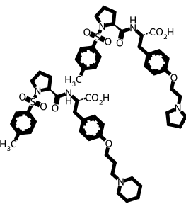 Cc1ccc(S(=O)(=O)N2CCC[C@H]2C(=O)N[C@@H](Cc2ccc(OCCCN3CCCCC3)cc2)C(=O)O)cc1.Cc1ccc(S(=O)(=O)N2CCC[C@H]2C(=O)N[C@@H](Cc2ccc(OCCN3CCCC3)cc2)C(=O)O)cc1